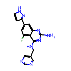 Nc1nc(NCc2cncnc2)c2c(F)cc(-c3cc[nH]n3)cc2n1